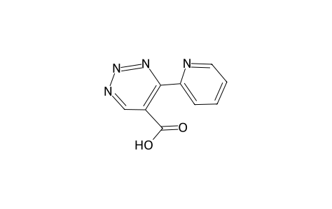 O=C(O)c1cnnnc1-c1ccccn1